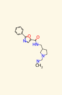 C=NCN1CCC(CNC(=O)c2cnc(-c3ccccc3)o2)C1